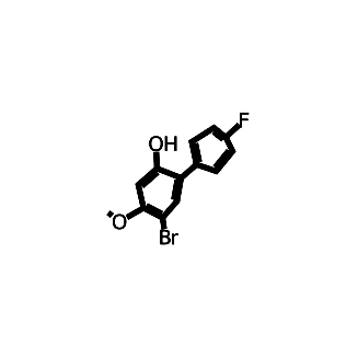 COc1cc(O)c(-c2ccc(F)cc2)cc1Br